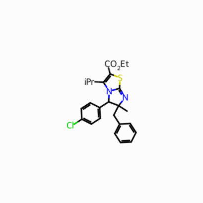 CCOC(=O)C1=C(C(C)C)N2C(=NC(C)(Cc3ccccc3)C2c2ccc(Cl)cc2)S1